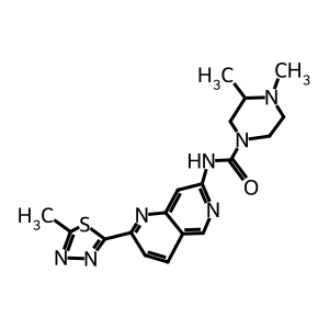 Cc1nnc(-c2ccc3cnc(NC(=O)N4CCN(C)C(C)C4)cc3n2)s1